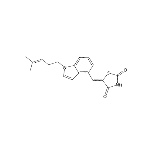 CC(C)=CCCn1ccc2c(C=C3SC(=O)NC3=O)cccc21